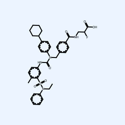 CCN(c1ccccc1)S(=O)(=O)c1cc(NC(=O)N(Cc2ccc(C(=O)NCC(F)C(=O)O)cc2)c2ccc(C3CCCCC3)cc2)ccc1C